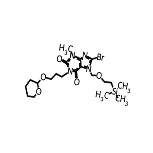 Cn1c(=O)n(CCCOC2CCCCO2)c(=O)c2c1nc(Br)n2COCC[Si](C)(C)C